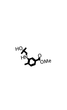 COC(=O)c1ccc(C)c(NCC(C)(C)O)c1